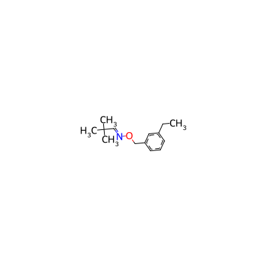 CCc1cccc(CON=CC(C)(C)C)c1